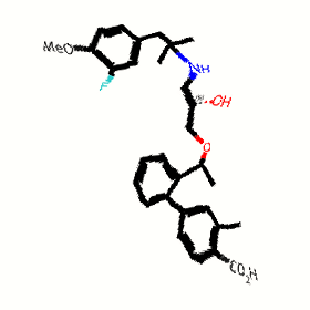 COc1ccc(CC(C)(C)NC[C@H](O)COC(C)c2ccccc2-c2ccc(C(=O)O)c(C)c2)cc1F